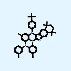 Cc1cccc(N2c3cc(C)ccc3B3c4sc5cc6c(cc5c4N(c4ccc(C(C)(C)C)cc4)c4cc(C)cc2c43)C(C)(C)CCC6(C)C)c1